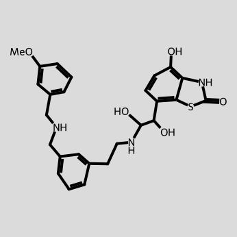 COc1cccc(CNCc2cccc(CCNC(O)C(O)c3ccc(O)c4[nH]c(=O)sc34)c2)c1